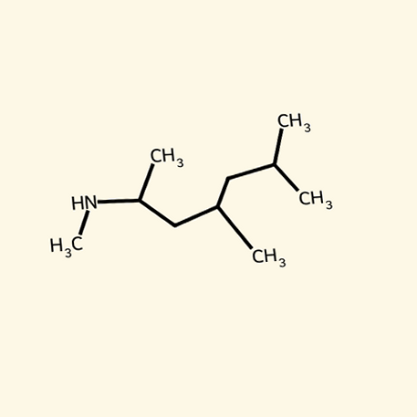 CNC(C)CC(C)CC(C)C